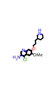 COc1cc2c(Cl)c(N)cnc2cc1OCCCC1CCCNC1